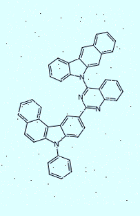 c1ccc(-n2c3ccc(-c4nc(-n5c6ccccc6c6cc7ccccc7cc65)c5ccccc5n4)cc3c3c4ccccc4ccc32)cc1